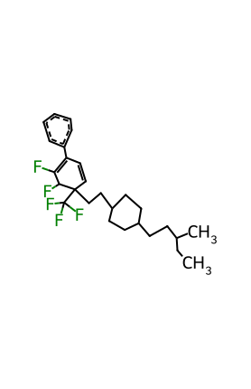 CCC(C)CCC1CCC(CCC2(C(F)(F)F)C=CC(c3ccccc3)=C(F)C2F)CC1